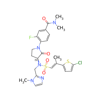 CC(=CS(=O)(=O)N(Cc1nccn1C)[C@H]1CCN(c2ccc(C(=O)N(C)C)cc2F)C1=O)c1ccc(Cl)s1